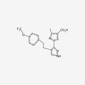 Cc1nc(-c2n[nH]cc2CCc2ccc(OC(F)(F)F)cc2)sc1C(=O)O